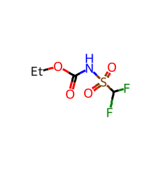 CCOC(=O)NS(=O)(=O)C(F)F